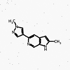 Cc1cc2cc(-c3cnn(C)c3)ncc2[nH]1